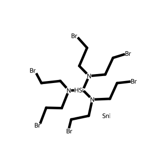 BrCCN(CCBr)[SiH](N(CCBr)CCBr)N(CCBr)CCBr.[Sn]